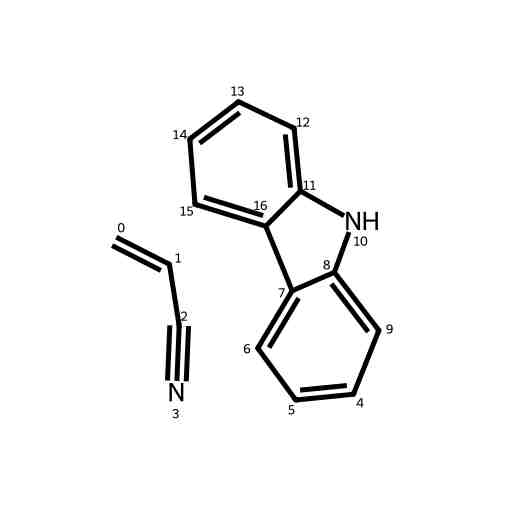 C=CC#N.c1ccc2c(c1)[nH]c1ccccc12